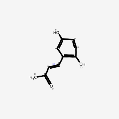 CC(=O)/C=C/c1cc(O)ccc1O